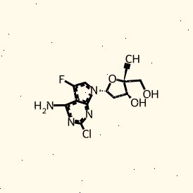 C#C[C@]1(CO)O[C@@H](n2cc(F)c3c(N)nc(Cl)nc32)C[C@@H]1O